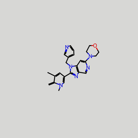 C=C1C(C)=CC(c2nc3cnc(N4CCOCC4)cc3n2Cc2cccnc2)=CN1C